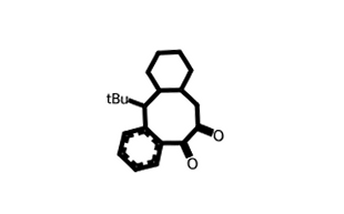 CC(C)(C)C1c2ccccc2C(=O)C(=O)CC2CCCCC21